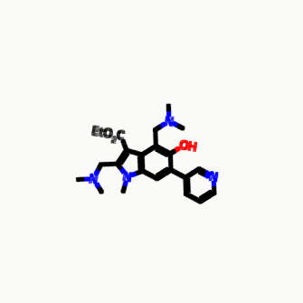 CCOC(=O)c1c(CN(C)C)n(C)c2cc(-c3cccnc3)c(O)c(CN(C)C)c12